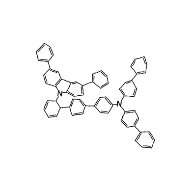 C1=CC(c2ccc(-c3ccc(N(c4ccc(-c5ccccc5)cc4)c4ccc(-c5ccccc5)cc4)cc3)cc2)C(n2c3ccc(-c4ccccc4)cc3c3cc(-c4ccccc4)ccc32)C=C1